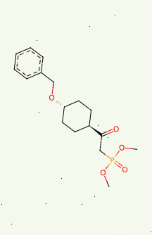 COP(=O)(CC(=O)[C@H]1CC[C@H](OCc2ccccc2)CC1)OC